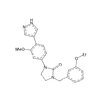 CCOc1cccc(CN2CCN(c3ccc(-c4cn[nH]c4)c(OC)c3)C2=O)c1